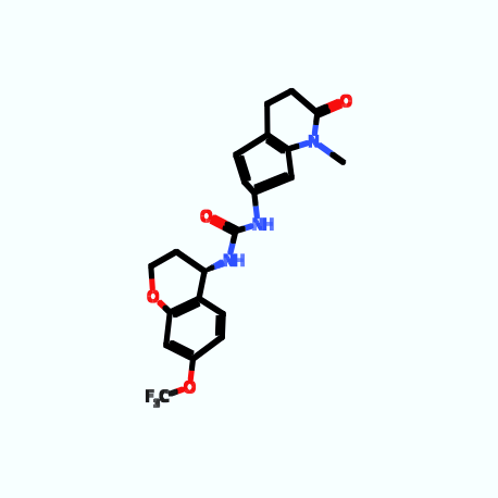 CN1C(=O)CCc2ccc(NC(=O)N[C@@H]3CCOc4cc(OC(F)(F)F)ccc43)cc21